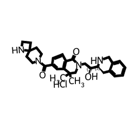 CC1(C)CN(C[C@H](O)[C@@H]2Cc3ccccc3CN2)C(=O)c2ccc(C(=O)N3CCC4(CCN4)CC3)cc21.Cl